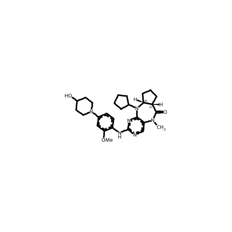 COc1cc(N2CCC(O)CC2)ccc1Nc1ncc2c(n1)N(C1CCCC1)[C@@H]1CCC[C@@H]1C(=O)N2C